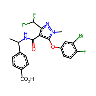 CC(NC(=O)c1c(C(F)F)nn(C)c1Oc1ccc(F)c(Br)c1)c1ccc(C(=O)O)cc1